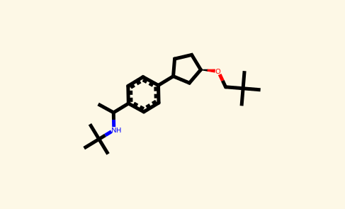 CC(NC(C)(C)C)c1ccc(C2CC[C@@H](OCC(C)(C)C)C2)cc1